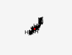 Cc1cnn(-c2ccc(CNCc3ccc(-c4nc(C)cc(Nc5cc(C)[nH]n5)n4)cn3)cn2)c1